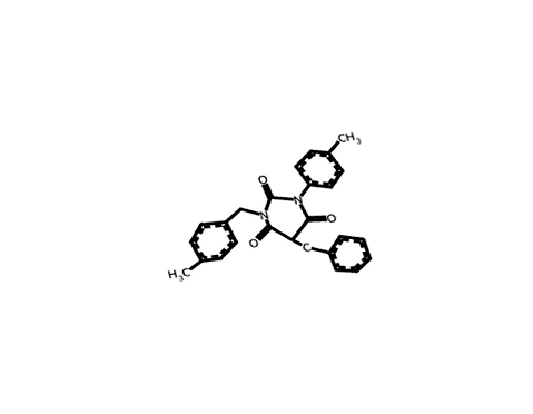 Cc1ccc(CN2C(=O)C(Cc3ccccc3)C(=O)N(c3ccc(C)cc3)C2=O)cc1